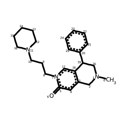 CN1Cc2cc(=O)n(CCCN3CCCCC3)cc2C(c2ccccc2)C1